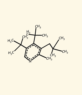 Cc1ncc(C(C)(C)C)c(C(C)(C)C)c1CC(C)(C)C